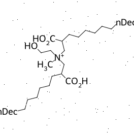 CCCCCCCCCCCCCCCCC(C[N+](C)(CCO)CC(CCCCCCCCCCCCCCCC)C(=O)O)C(=O)O